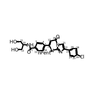 CCCCCn1c(-c2ccc(C(=O)NC(CO)CO)cc2)cc(=O)n2cc(-c3ccc(Cl)cc3)nc12